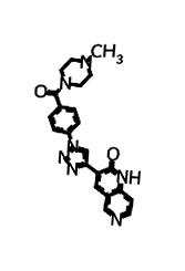 CN1CCN(C(=O)c2ccc(-n3cc(-c4cc5cnccc5[nH]c4=O)nn3)cc2)CC1